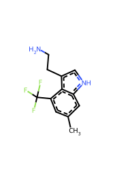 Cc1cc(C(F)(F)F)c2c(CCN)c[nH]c2c1